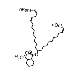 CCCCC/C=C\C/C=C\CCCCCCCCC(CCCCCCCC/C=C\CCCCCCCC)OC(=O)C1CCCCC1N(C)C